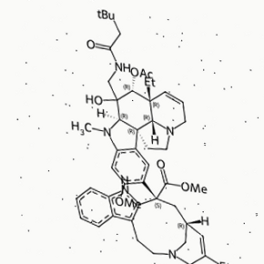 CCC1=C[C@@H]2CN(CCc3c([nH]c4ccccc34)[C@@](C(=O)OC)(c3cc4c(cc3OC)N(C)[C@H]3C(O)(CNC(=O)CC(C)(C)C)[C@H](OC(C)=O)[C@]5(CC)C=CCN6CC[C@]43[C@@H]65)C2)C1